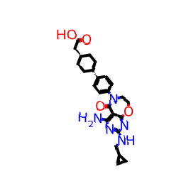 Nc1nc(NCC2CC2)nc2c1C(=O)N(c1ccc([C@H]3CC[C@H](CC(=O)O)CC3)cc1)CCO2